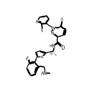 CNCc1cccc(F)c1-c1ccc([C@@H](C)NC(=O)c2ccc(=O)n(-c3cccnc3F)n2)s1